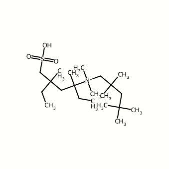 CCC(C)(CC(C)(CC)[N+](C)(C)CC(C)(C)CC(C)(C)C)CS(=O)(=O)O